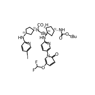 CC(C)(C)N(C(=O)O)[C@H]1CC[C@H](Nc2ccc(I)cn2)C1.CC(C)(C)OC(=O)N[C@H]1CC[C@H](Nc2ccc(-n3cc(OC(F)F)ccc3=O)cn2)C1